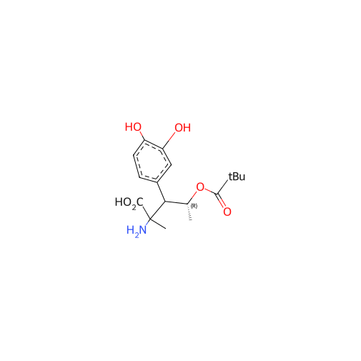 C[C@@H](OC(=O)C(C)(C)C)C(c1ccc(O)c(O)c1)C(C)(N)C(=O)O